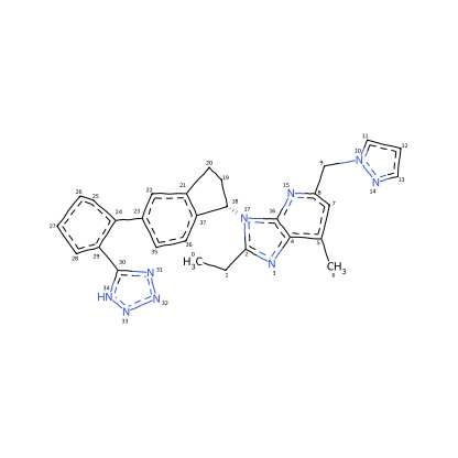 CCc1nc2c(C)cc(Cn3cccn3)nc2n1[C@H]1CCc2cc(-c3ccccc3-c3nnn[nH]3)ccc21